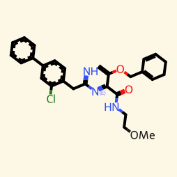 C=C(OCC1=CCCC=C1)/C(=N\C(=N)Cc1ccc(-c2ccccc2)cc1Cl)C(=O)NCCOC